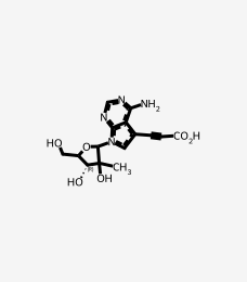 CC1(O)C(n2cc(C#CC(=O)O)c3c(N)ncnc32)OC(CO)[C@H]1O